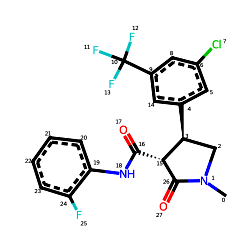 CN1C[C@H](c2cc(Cl)cc(C(F)(F)F)c2)[C@@H](C(=O)Nc2ccccc2F)C1=O